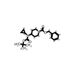 CC(C)(C)OC(=O)N(C1CC1)C1CCN(C(=O)OCc2ccccc2)CC1